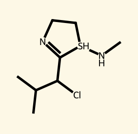 CN[SH]1CCN=C1C(Cl)C(C)C